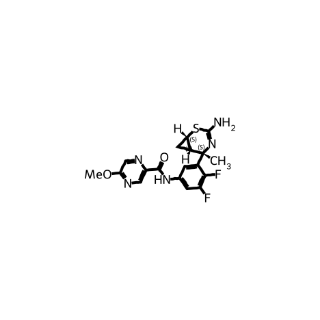 COc1cnc(C(=O)Nc2cc(F)c(F)c([C@@]3(C)N=C(N)S[C@H]4C[C@H]43)c2)cn1